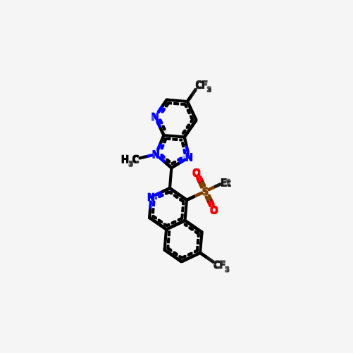 CCS(=O)(=O)c1c(-c2nc3cc(C(F)(F)F)cnc3n2C)ncc2ccc(C(F)(F)F)cc12